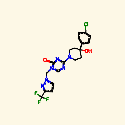 O=c1nc(N2CCC(O)(c3ccc(Cl)cc3)CC2)ncn1Cn1ccc(C(F)(F)F)n1